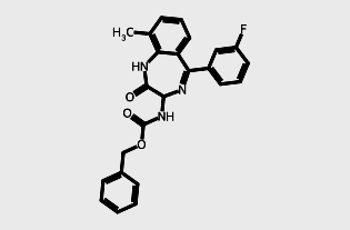 Cc1cccc2c1NC(=O)C(NC(=O)OCc1ccccc1)N=C2c1cccc(F)c1